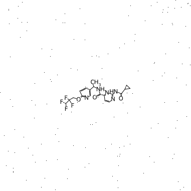 CC(NC(=O)c1ccnc(NC(=O)C2CC2)n1)c1ccc(OCC(F)(F)C(F)F)nc1